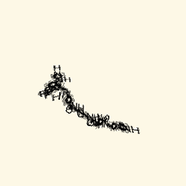 O=C(Cn1ccc2cc(C(=O)NCCc3ccc(N4CCNCC4)cc3)cnc21)NCCOCCNC(=O)c1ccc(NCC#Cc2cc3c(NC4CCNCC4)cccc3n2CC(F)(F)F)cc1